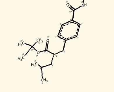 CC(C)CN(Cc1ccc(C(=O)NO)cc1)C(=O)OC(C)(C)C